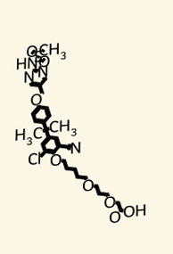 CC(C)(c1ccc(OCc2cnc(NS(C)(=O)=O)nc2)cc1)c1cc(Cl)c(OCCCCCOCCCOCC(=O)O)c(C#N)c1